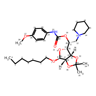 CCCCCCCO[C@H]1O[C@H]([C@@H](CN2CCCCC2)OC(=O)Nc2ccc(OC)cc2)[C@@H]2OC(C)(C)O[C@H]12